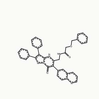 O=C(COCc1ccccc1)NCc1[nH]c2c(-c3ccccc3)c(-c3ccccc3)nn2c(=O)c1-c1ccc2ncccc2c1